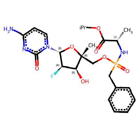 CC(C)OC(=O)[C@H](C)NP(=O)(Cc1ccccc1)OC[C@@]1(C)O[C@@H](n2ccc(N)nc2=O)[C@H](F)[C@@H]1O